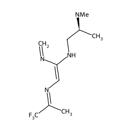 C=N/C(=C\N=C(/C)C(F)(F)F)NC[C@H](C)NC